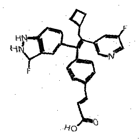 O=C(O)/C=C/c1ccc(/C(=C(\c2cncc(F)c2)C2CCC2)c2ccc3c(c2)C(F)NN3)cc1